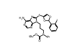 CC(C)N(CCCn1c(SC2=COC(c3ccccc3I)O2)nc2c(N)ncnc21)C(=O)OC(C)(C)C